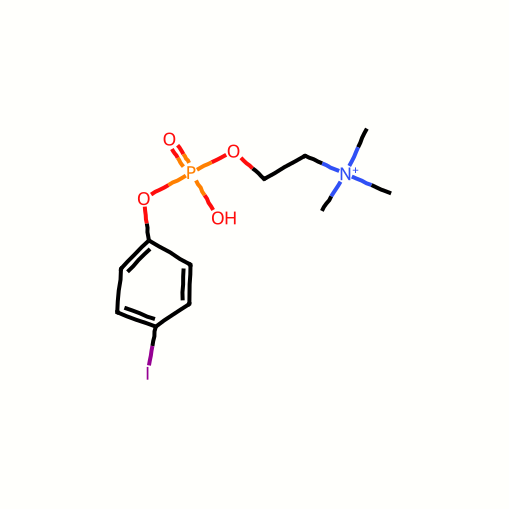 C[N+](C)(C)CCOP(=O)(O)Oc1ccc(I)cc1